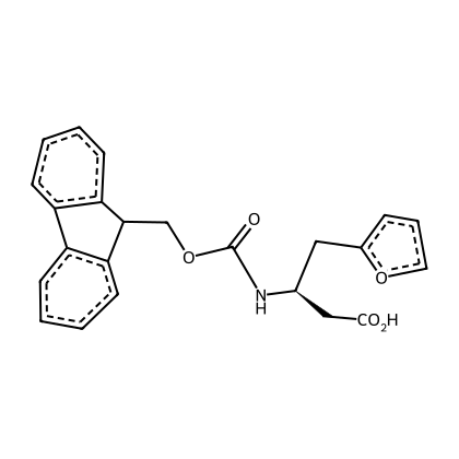 O=C(O)C[C@H](Cc1ccco1)NC(=O)OCC1c2ccccc2-c2ccccc21